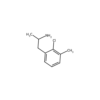 Cc1cccc(CC(C)N)c1Cl